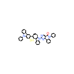 O=c1c2cnc(-n3c4c(c5ccccc53)C=C(c3cc5c6ccccc6n(-c6ccccc6)c5cc3S)C#CC4)nc2c2ccccc2n1-c1ccccc1